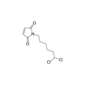 O=C1C=CC(=O)N1CCCCCC(Cl)Cl